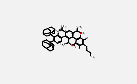 CCCCc1c(F)c(F)c(-c2c(C(C)C)cc(C(C)C)c(-c3ccc(C45CC6CC(CC(C6)C4)C5)c(C45CC6CC(CC(C6)C4)C5)c3OC)c2C(C)C)c(F)c1F